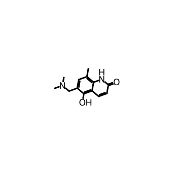 Cc1cc(CN(C)C)c(O)c2ccc(=O)[nH]c12